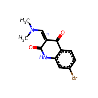 CN(C)/C=C1\C(=O)Nc2cc(Br)ccc2C1=O